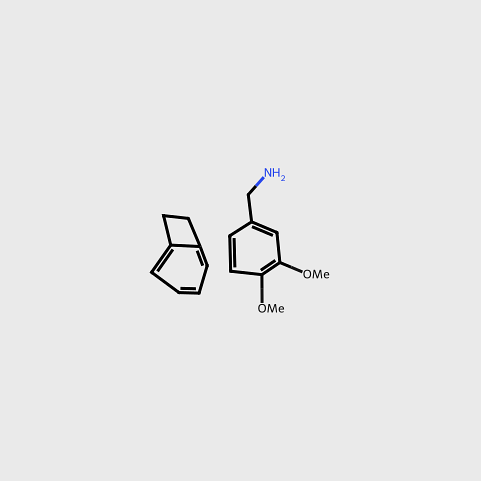 COc1ccc(CN)cc1OC.c1ccc2c(c1)CC2